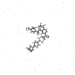 CC(C)N(C)c1ccc(C(=O)N2CCC(c3ccc(-c4cnn(C)c4)cc3)CC2)cc1NC(=O)c1ccc(Cl)nc1